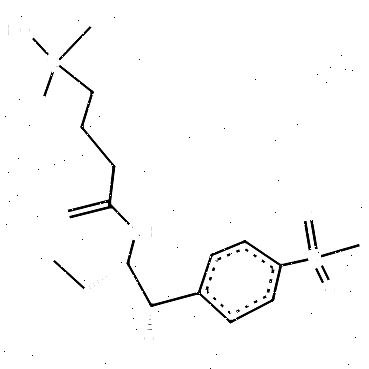 C[Si](C)(O)CCCC(=O)N[C@@H](CF)[C@@H](O)c1ccc(S(C)(=O)=O)cc1